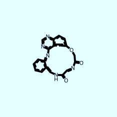 O=C1COc2ccc3ncnc(c3c2)/N=c2\cccc\c2=C\NC(=O)/C=N/1